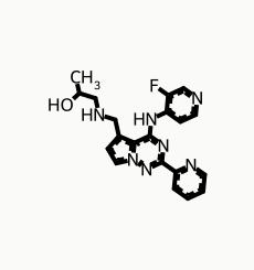 CC(O)CNCc1ccn2nc(-c3ccccn3)nc(Nc3ccncc3F)c12